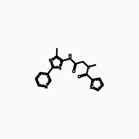 Cc1nc(-c2cccnc2)sc1NC(=O)CN(C)C(=O)c1cccs1